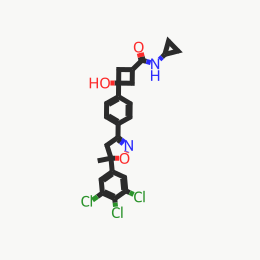 CC1(c2cc(Cl)c(Cl)c(Cl)c2)CC(c2ccc(C3(O)CC(C(=O)NC4CC4)C3)cc2)=NO1